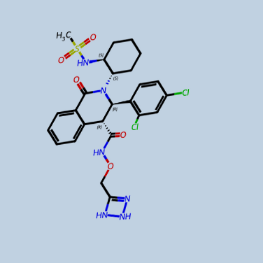 CS(=O)(=O)N[C@H]1CCCC[C@@H]1N1C(=O)c2ccccc2[C@@H](C(=O)NOCc2n[nH][nH]2)[C@@H]1c1ccc(Cl)cc1Cl